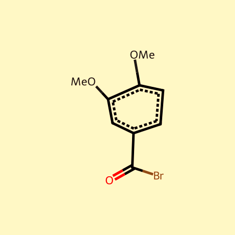 COc1ccc(C(=O)Br)cc1OC